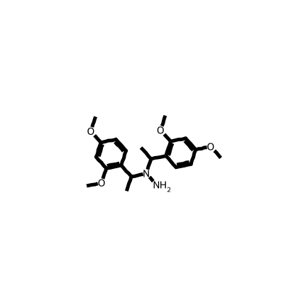 COc1ccc(C(C)N(N)C(C)c2ccc(OC)cc2OC)c(OC)c1